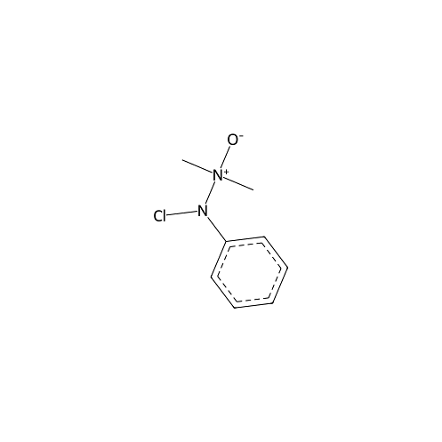 C[N+](C)([O-])N(Cl)c1ccccc1